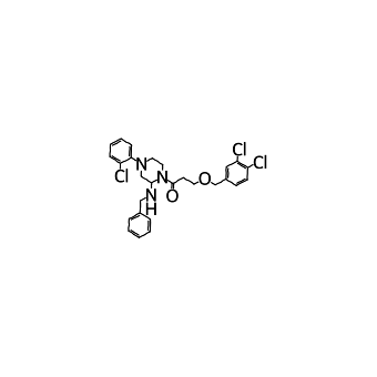 O=C(CCOCc1ccc(Cl)c(Cl)c1)N1CCN(c2ccccc2Cl)CC1NCc1ccccc1